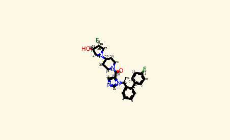 C[C@@H](c1ccccc1-c1ccc(F)cc1)n1cncc1C(=O)N1CCC(N2C[C@@H](O)[C@H](F)C2)CC1